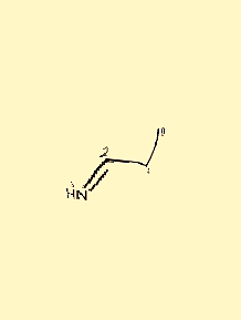 CCC=N